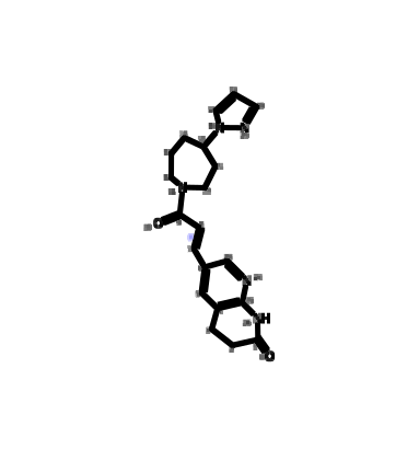 O=C1CCc2cc(/C=C/C(=O)N3CCCC(n4cccn4)CC3)cnc2N1